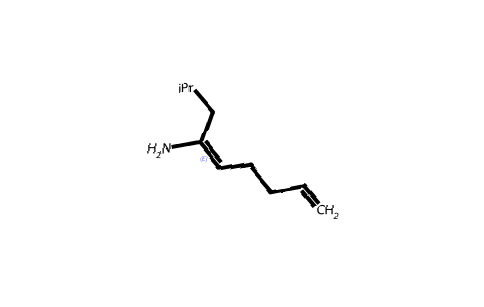 C=CCC/C=C(/N)CC(C)C